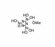 COC.OCNc1nc(N(CO)CO)nc(N(CO)CO)n1